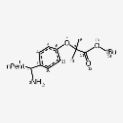 CCCCCC(N)c1ccc(OC(C)(C)C(=O)OC(C)(C)C)cc1